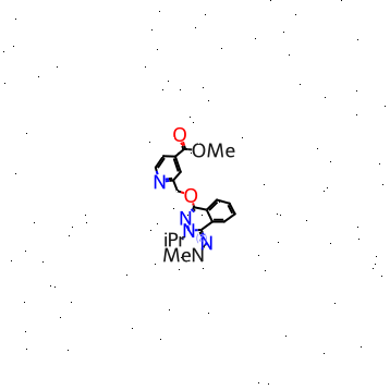 CN/N=c1/c2ccccc2c(OCc2cc(C(=O)OC)ccn2)nn1C(C)C